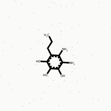 CCCc1c(N)c(N)c(O)c(O)c1O